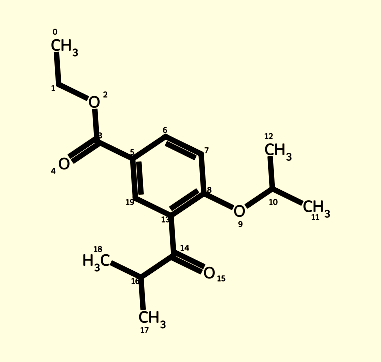 CCOC(=O)c1ccc(OC(C)C)c(C(=O)C(C)C)c1